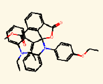 CCOc1ccc(N(c2ccccc2)C2(c3c(C)n(CC)c4ccccc34)OC(=O)c3cccc(C(=O)OC)c32)cc1